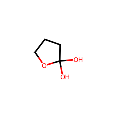 OC1(O)CC[CH]O1